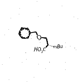 CCCC[C@@H](COCc1ccccc1)C(=O)O